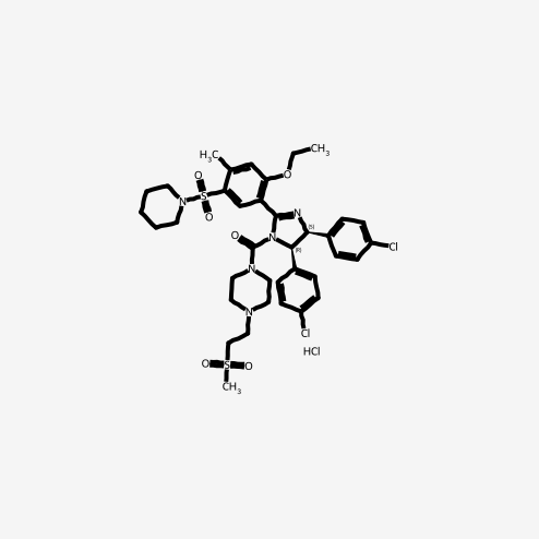 CCOc1cc(C)c(S(=O)(=O)N2CCCCC2)cc1C1=N[C@@H](c2ccc(Cl)cc2)[C@@H](c2ccc(Cl)cc2)N1C(=O)N1CCN(CCS(C)(=O)=O)CC1.Cl